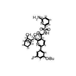 CC(C)COc1cc(F)cc(-c2ccc(C(=O)NS(=O)(=O)c3cccc(N)n3)c(N(C)C3C4CCC(C4)C3C)n2)c1